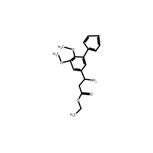 CCOC(=O)CC(N)c1cc(OC)c(OC)c(-c2ccccc2)c1